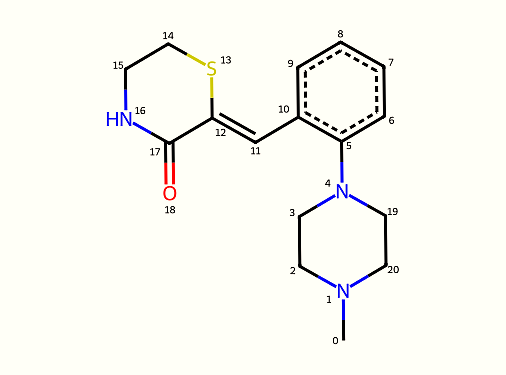 CN1CCN(c2ccccc2/C=C2\SCCNC2=O)CC1